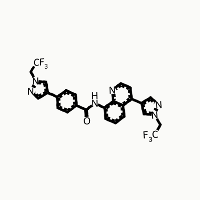 O=C(Nc1cccc2c(-c3cnn(CC(F)(F)F)c3)ccnc12)c1ccc(-c2cnn(CC(F)(F)F)c2)cc1